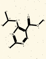 COC(=O)c1cnc(C)nc1SC(C)C